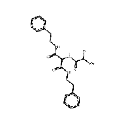 CCCC(Br)C(=O)NC(C(=O)NCCc1ccccc1)C(=O)NCCc1ccccc1